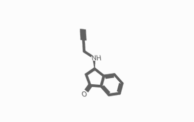 C#CCN[C@@H]1CC(=O)c2ccccc21